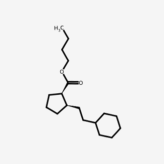 CCCCOC(=O)[C@@H]1CCC[C@@H]1CCC1CCCCC1